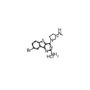 CN[C@@H]1CCN(c2nc(N)nc3c2sc2ccc(Br)cc23)C1.Cl